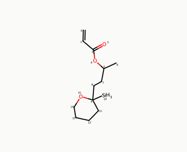 C=CC(=O)OC(C)CCC1([SiH3])CCCCO1